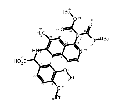 CCOc1cc(C(Nc2cc3ccnc(N(C(=O)OC(C)(C)C)C(=O)OC(C)(C)C)c3cc2C)C(=O)O)ccc1OC(C)C